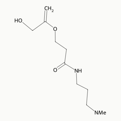 C=C(CO)OCCC(=O)NCCCNC